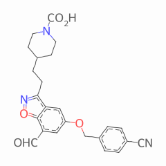 N#Cc1ccc(COc2cc(C=O)c3onc(CCC4CCN(C(=O)O)CC4)c3c2)cc1